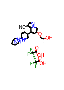 C[C@@H](O)COc1cc(-c2ccc(N3CC4CC(C3)N4)nc2)c2c(C#N)cnn2c1.O=C(O)C(F)(F)F.O=C(O)C(F)(F)F